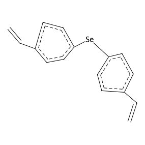 C=Cc1ccc([Se]c2ccc(C=C)cc2)cc1